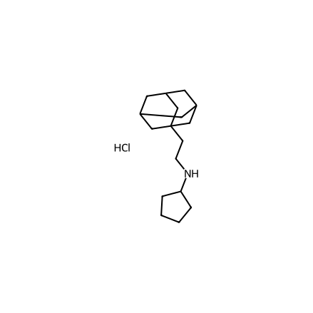 C1CCC(NCCC23CC4CC(CC(C4)C2)C3)C1.Cl